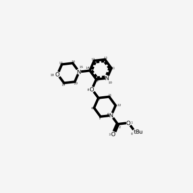 CC(C)(C)OC(=O)N1CCC(Oc2ncccc2N2CCOCC2)CC1